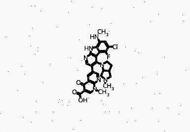 CNc1cc(Cl)c(F)c2c1[nH]c1ncc(-c3cnc4c(c3)c(=O)c(C(=O)O)cn4C)c(N3CCC4CN(C)CC43)c12